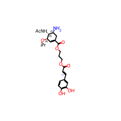 CC(=O)N[C@@H]1[C@@H](N)CC(C(=O)OCCCOC(=O)/C=C/c2ccc(O)c(O)c2)=C[C@H]1OC(C)C